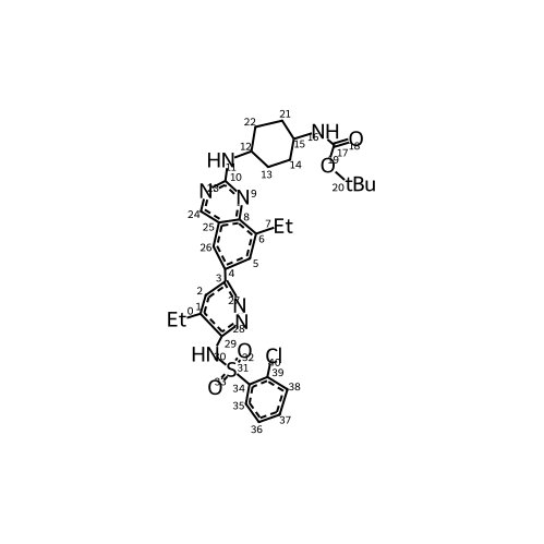 CCc1cc(-c2cc(CC)c3nc(NC4CCC(NC(=O)OC(C)(C)C)CC4)ncc3c2)nnc1NS(=O)(=O)c1ccccc1Cl